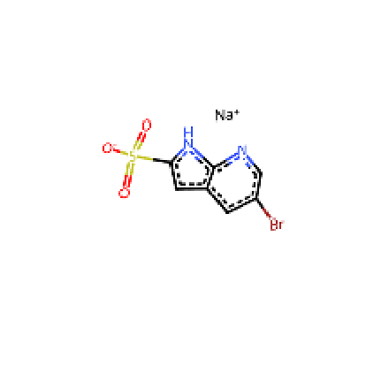 O=S(=O)([O-])c1cc2cc(Br)cnc2[nH]1.[Na+]